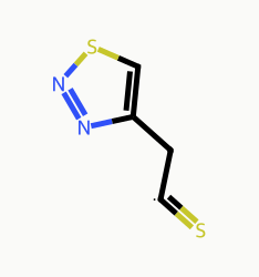 S=[C]Cc1csnn1